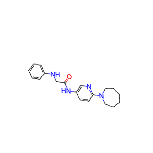 O=C(CNc1ccccc1)Nc1ccc(N2CCCCCC2)nc1